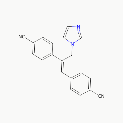 N#Cc1ccc(/C=C(\Cn2ccnc2)c2ccc(C#N)cc2)cc1